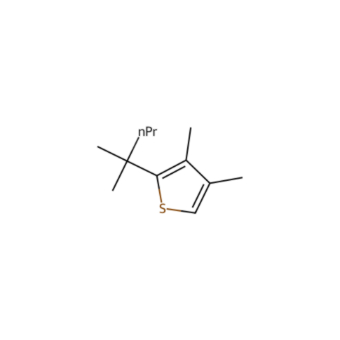 CCCC(C)(C)c1scc(C)c1C